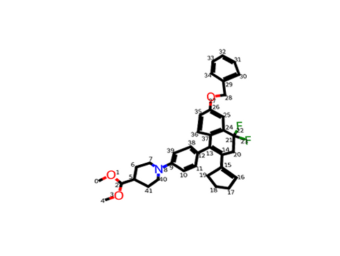 COC(OC)C1CCN(c2ccc(C3=C(C4=CCCC4)CC(F)(F)c4cc(OCc5ccccc5)ccc43)cc2)CC1